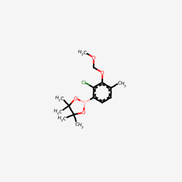 COCOc1c(C)ccc(B2OC(C)(C)C(C)(C)O2)c1Cl